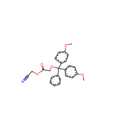 COc1ccc(C(OCC(=O)OCC#N)(c2ccccc2)c2ccc(OC)cc2)cc1